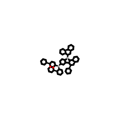 c1ccc(-c2ccc(N(c3ccc4c(c3)c3c(-c5ccccc5)cc5ccccc5c3n4-c3cc4ccccc4c4ccccc34)c3ccccc3-c3ccccc3)cc2)cc1